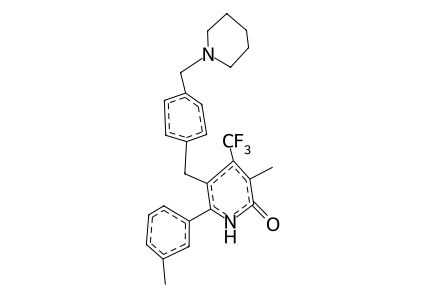 Cc1cccc(-c2[nH]c(=O)c(C)c(C(F)(F)F)c2Cc2ccc(CN3CCCCC3)cc2)c1